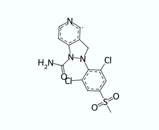 CS(=O)(=O)c1cc(Cl)c(N2Cc3[c]nccc3N2C(N)=O)c(Cl)c1